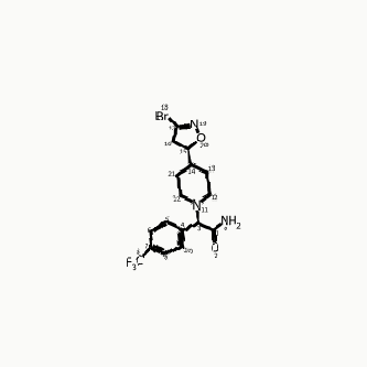 NC(=O)[C@@H](c1ccc(C(F)(F)F)cc1)N1CCC([C@H]2CC(Br)=NO2)CC1